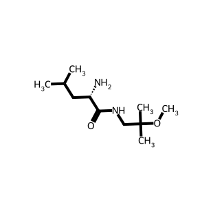 COC(C)(C)CNC(=O)[C@@H](N)CC(C)C